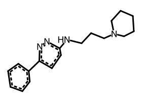 c1ccc(-c2ccc(NCCCN3CCCCC3)nn2)cc1